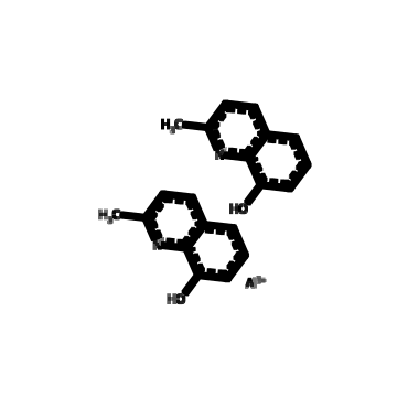 Cc1ccc2cccc(O)c2n1.Cc1ccc2cccc(O)c2n1.[Al+3]